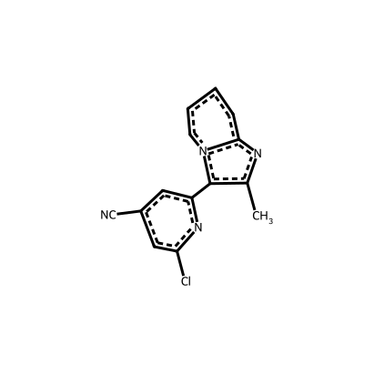 Cc1nc2ccccn2c1-c1cc(C#N)cc(Cl)n1